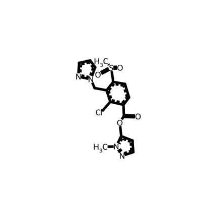 Cn1nccc1OC(=O)c1ccc(S(C)(=O)=O)c(Cn2cccn2)c1Cl